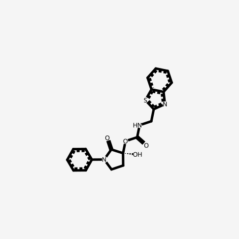 O=C(NCc1nc2ccccc2s1)O[C@@]1(O)CCN(c2ccccc2)C1=O